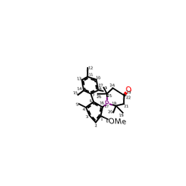 COc1ccc(C)c(-c2c(C)cc(C)cc2C)c1P1C(C)(C)CC(=O)CC1(C)C